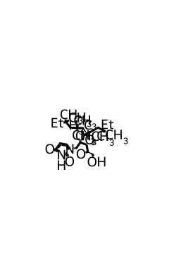 CCC(C)(C)CC(C)(C)C[C@]1(C(C)(C)CC(C)(C)CC)OC2C(O1)[C@@H](CO)O[C@H]2n1ccc(=O)[nH]c1=O